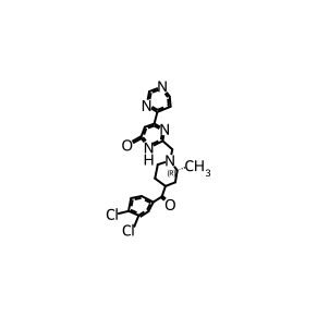 C[C@@H]1CC(C(=O)c2ccc(Cl)c(Cl)c2)CCN1Cc1nc(-c2ccncn2)cc(=O)[nH]1